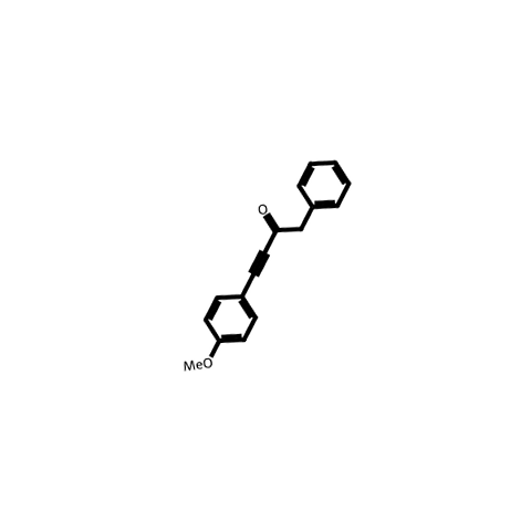 COc1ccc(C#CC(=O)Cc2ccccc2)cc1